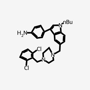 CCCCn1cc(-c2ccc(N)cc2)c2cc(CN3CCN(Cc4c(Cl)cccc4Cl)CC3)ccc21